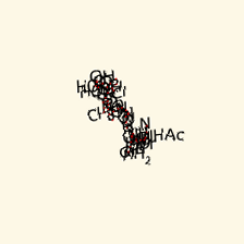 CC(=O)N[C@@H](CCCCN)C(=O)N[C@H](C(=O)N[C@@H](CCCNC(N)=O)C(=O)Nc1ccc(COC(=O)N(C)CCN(C)C(=O)Oc2cc3c(c4ccccc24)[C@H](CCl)CN3C(=O)c2ccc(C(=O)N3C[C@@H](CCl)c4c3cc(OC3OC(CO)[C@H](O)C(O)[C@@H]3O)c3ccccc43)s2)cc1)C(C)C